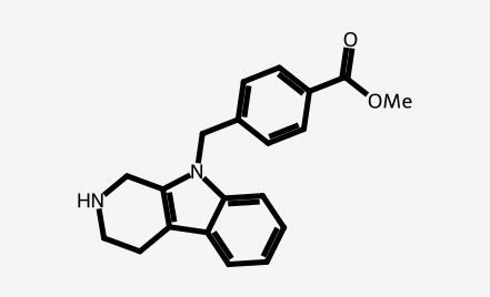 COC(=O)c1ccc(Cn2c3c(c4ccccc42)CCNC3)cc1